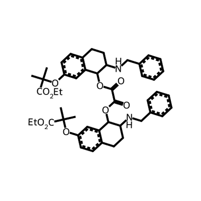 CCOC(=O)C(C)(C)Oc1ccc2c(c1)C(OC(=O)C(=O)OC1c3cc(OC(C)(C)C(=O)OCC)ccc3CCC1NCc1ccccc1)C(NCc1ccccc1)CC2